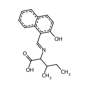 CCC(C)C(/N=C/c1c(O)ccc2ccccc12)C(=O)O